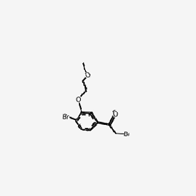 COCCOc1cc(C(=O)CBr)ccc1Br